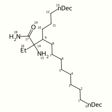 CCCCCCCCCCCCCCCCCCC(CCCCCCCCCCCCC)C(N)(CC)C(N)=O